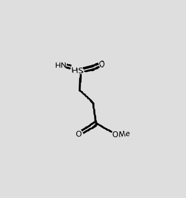 COC(=O)CC[SH](=N)=O